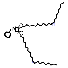 CCCCCCCC/C=C\CCCCCCCCCCO[C@@H]1CN(Cc2ccccc2)C[C@H]1OCCCCCCCCCC/C=C\CCCCCCCC